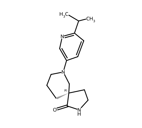 CC(C)c1ccc(N2CCC[C@@]3(CCNC3=O)C2)cn1